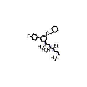 C\C=C/C=C(CC)/C(N)=C/C(C)=C1/C=C(c2ccc(F)cc2)C=C(OCC2CCCCC2)C1